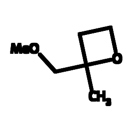 COCC1(C)CCO1